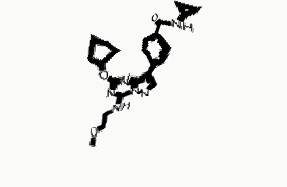 COCCNc1nc(OC2CCCC2)nc2c(-c3ccc(C(=O)NC4CC4)cc3)cnn12